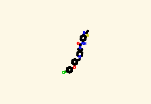 Cc1nc2ccc(NC(=O)N3CC4(CCN(Cc5cccc(Oc6ccc(Cl)cc6)c5)CC4)C3)cc2s1